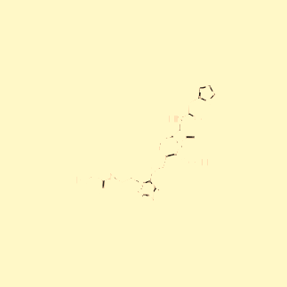 CC(C)(C)OC(=O)NCCn1nnnc1SCC1=C(C(=O)O)N2C(=O)C(NC(=O)Cc3cccs3)[C@H]2SC1